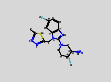 Cc1nnc(Cn2c(N3CC[C@@H](F)[C@H](N)C3)nc3ccc(F)cc32)s1